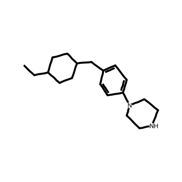 CCC1CCC(Cc2ccc(N3CCNCC3)cc2)CC1